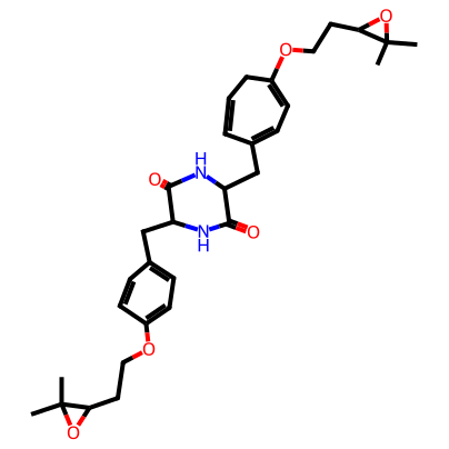 CC1(C)OC1CCOC1=CC=C(CC2NC(=O)C(Cc3ccc(OCCC4OC4(C)C)cc3)NC2=O)C=CC1